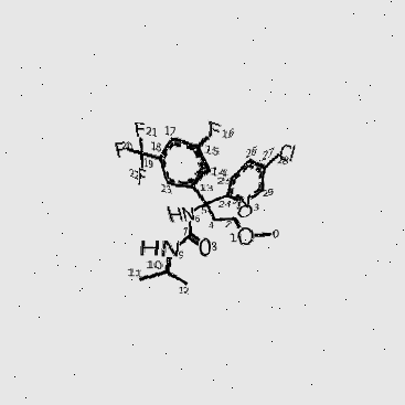 COC(=O)CC(NC(=O)NC(C)C)(c1cc(F)cc(C(F)(F)F)c1)c1ccc(Cl)cn1